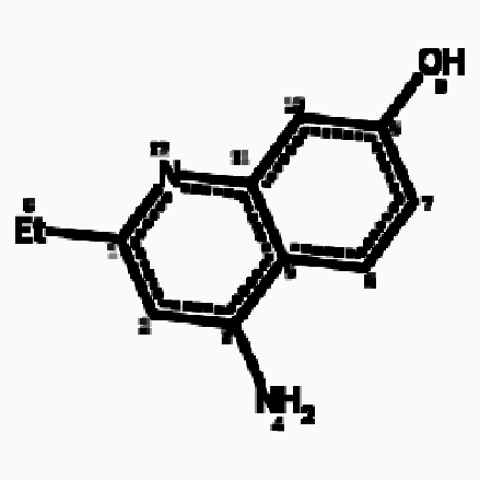 CCc1cc(N)c2ccc(O)cc2n1